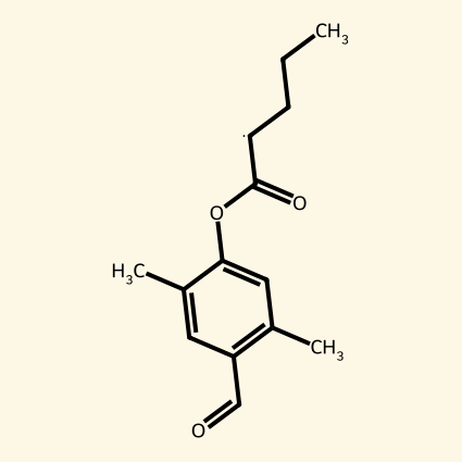 CCC[CH]C(=O)Oc1cc(C)c(C=O)cc1C